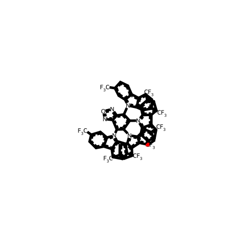 FC(F)(F)c1ccc2c3ccc(C(F)(F)F)cc3n(-c3c(-n4c5cc(C(F)(F)F)ccc5c5ccc(C(F)(F)F)cc54)c(-n4c5cc(C(F)(F)F)ccc5c5ccc(C(F)(F)F)cc54)c4nonc4c3-n3c4cc(C(F)(F)F)ccc4c4ccc(C(F)(F)F)cc43)c2c1